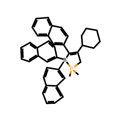 C[P+]1(C)CC(C2CCCCC2)=C(c2ccc3ccccc3c2)[B-]1(c1ccc2ccccc2c1)c1ccc2ccccc2c1